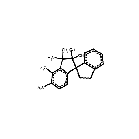 Cc1ccc2c(c1C)C(C)(C)C(O)(O)C21CCc2ccccc21